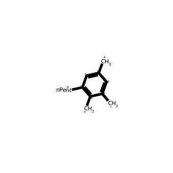 CCCC[CH]c1cc(C)cc(C)c1C